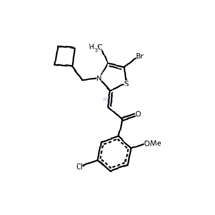 COc1ccc(Cl)cc1C(=O)/C=C1\SC(Br)=C(C)N1CC1CCC1